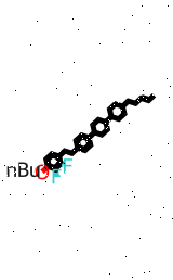 C/C=C/CCC1CCC(C2CCC(c3ccc(CCc4ccc(OCCCC)c(F)c4F)cc3)CC2)CC1